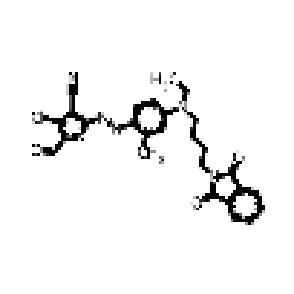 CCN(CCCCN1C(=O)c2ccccc2C1=O)c1ccc(/N=N/c2sc(C=O)c(Cl)c2C#N)c(C)c1